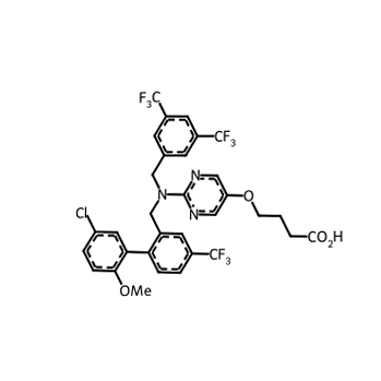 COc1ccc(Cl)cc1-c1ccc(C(F)(F)F)cc1CN(Cc1cc(C(F)(F)F)cc(C(F)(F)F)c1)c1ncc(OCCCC(=O)O)cn1